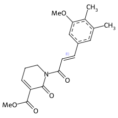 COC(=O)C1=CCCN(C(=O)/C=C/c2cc(C)c(C)c(OC)c2)C1=O